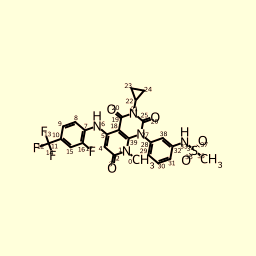 Cn1c(=O)cc(Nc2ccc(C(F)(F)F)cc2F)c2c(=O)n(C3CC3)c(=O)n(-c3cccc(NS(C)(=O)=O)c3)c21